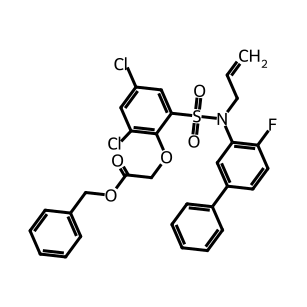 C=CCN(c1cc(-c2ccccc2)ccc1F)S(=O)(=O)c1cc(Cl)cc(Cl)c1OCC(=O)OCc1ccccc1